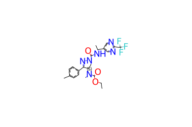 CCOC(=O)N(C)[C@H]1CN(C(=O)NC(C)c2cnc(C(F)(F)F)nc2)N=C1c1ccc(C)cc1